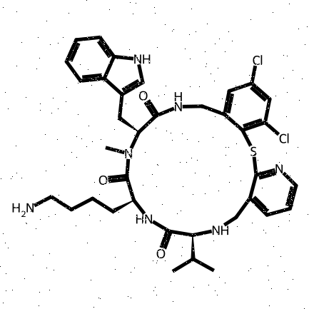 CC(C)[C@@H]1NCc2cccnc2Sc2c(Cl)cc(Cl)cc2CNC(=O)[C@H](Cc2c[nH]c3ccccc23)N(C)C(=O)[C@H](CCCCN)NC1=O